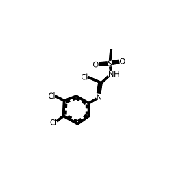 CS(=O)(=O)N/C(Cl)=N/c1ccc(Cl)c(Cl)c1